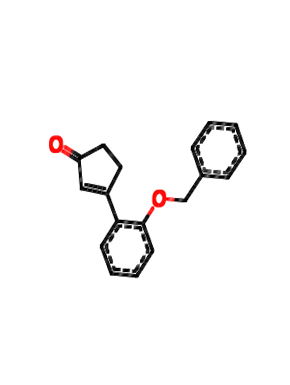 O=C1C=C(c2ccccc2OCc2ccccc2)CC1